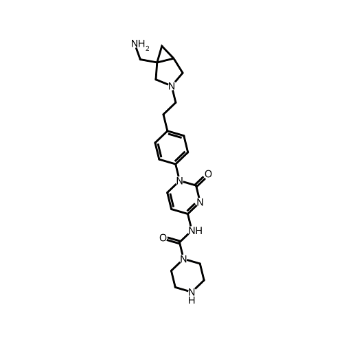 NCC12CC1CN(CCc1ccc(-n3ccc(NC(=O)N4CCNCC4)nc3=O)cc1)C2